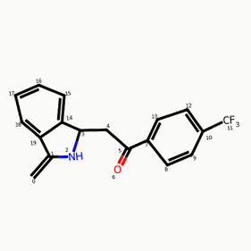 C=C1NC(CC(=O)c2ccc(C(F)(F)F)cc2)c2ccccc21